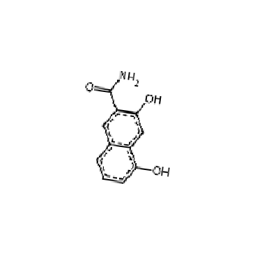 NC(=O)c1cc2cccc(O)c2cc1O